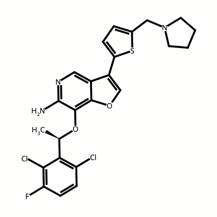 C[C@@H](Oc1c(N)ncc2c(-c3ccc(CN4CCCC4)s3)coc12)c1c(Cl)ccc(F)c1Cl